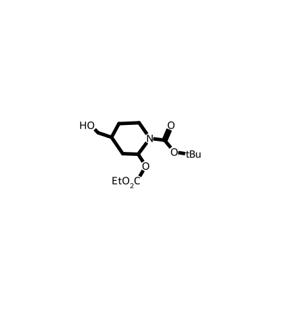 CCOC(=O)OC1CC(CO)CCN1C(=O)OC(C)(C)C